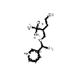 CC(OCC(CCO)C(C)(C)C)c1cccnc1